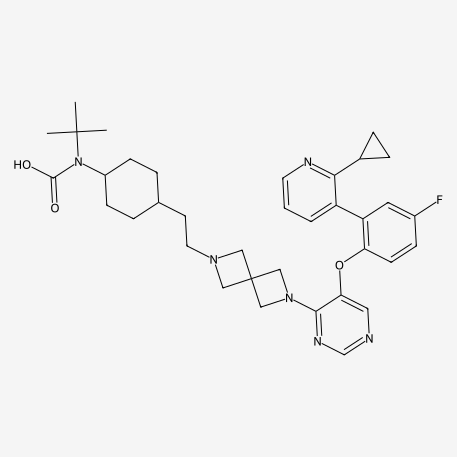 CC(C)(C)N(C(=O)O)C1CCC(CCN2CC3(C2)CN(c2ncncc2Oc2ccc(F)cc2-c2cccnc2C2CC2)C3)CC1